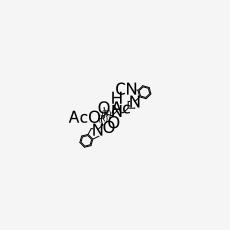 [C-]#[N+]c1ccccc1N1CC(CNC(=O)[C@H](OC(C)=O)[C@@H](OC(C)=O)C(=O)N2Cc3ccccc3C2)C1